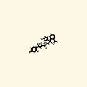 CC(=O)c1cccnc1C(C)(CNC(=O)c1cc(-c2ccc(F)cc2F)on1)c1cnn(C)c1